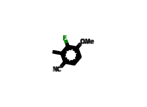 COc1ccc(C#N)c(C)c1F